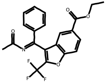 CCOC(=O)c1ccc2oc(C(F)(F)F)c(C(=NC(C)=O)c3ccccc3)c2c1